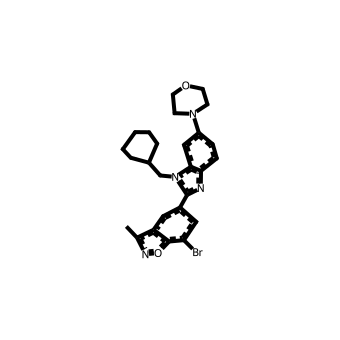 Cc1noc2c(Br)cc(-c3nc4ccc(N5CCOCC5)cc4n3CC3CCCCC3)cc12